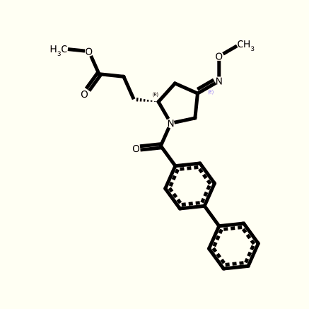 CO/N=C1\C[C@@H](CCC(=O)OC)N(C(=O)c2ccc(-c3ccccc3)cc2)C1